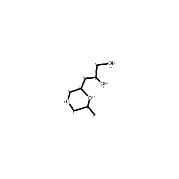 CC1COCC(CC(O)CO)O1